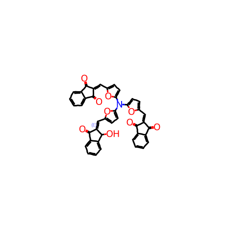 O=C1C(=Cc2ccc(N(c3ccc(C=C4C(=O)c5ccccc5C4=O)o3)c3ccc(/C=C4/C(=O)c5ccccc5C4O)o3)o2)C(=O)c2ccccc21